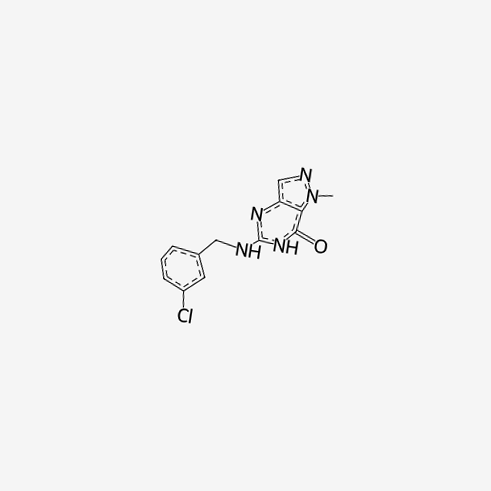 Cn1ncc2nc(NCc3cccc(Cl)c3)[nH]c(=O)c21